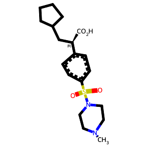 CN1CCN(S(=O)(=O)c2ccc([C@@H](CC3CCCC3)C(=O)O)cc2)CC1